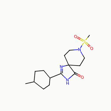 CC1CCC(C2=NC3(CCN(S(C)(=O)=O)CC3)C(=O)N2)CC1